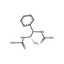 C[C@H](NC(=O)O)C(NC(=O)O)c1ccccc1